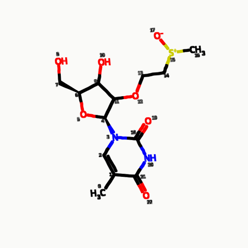 Cc1cn([C@H]2O[C@@H](CO)C(O)C2OCC[S+](C)[O-])c(=O)[nH]c1=O